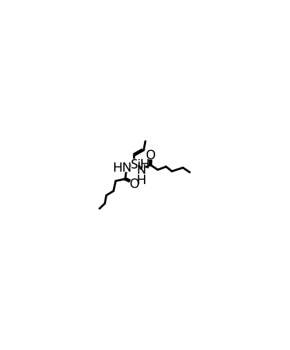 CC=C[SiH](NC(=O)CCCCC)NC(=O)CCCCC